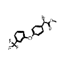 COC(=O)C(Br)c1ccc(Oc2cccc(C(F)(F)F)c2)cc1